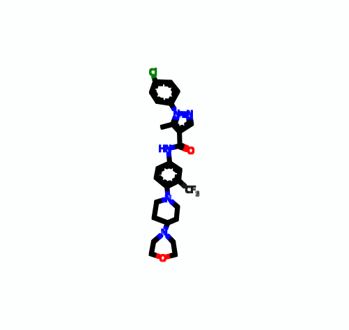 Cc1c(C(=O)Nc2ccc(N3CCC(N4CCOCC4)CC3)c(C(F)(F)F)c2)cnn1-c1ccc(Cl)cc1